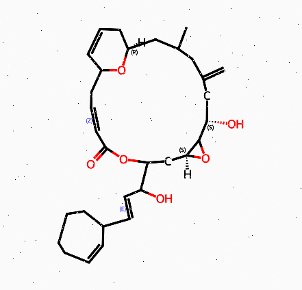 C=C1CC(C)C[C@@H]2CC=CC(C/C=C\C(=O)OC(C(O)/C=C/C3C=CCCCC3)C[C@@H]3OC3[C@@H](O)C1)O2